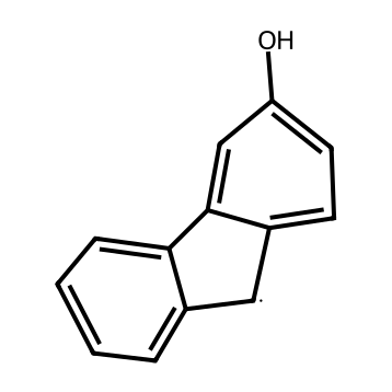 Oc1ccc2c(c1)-c1ccccc1[CH]2